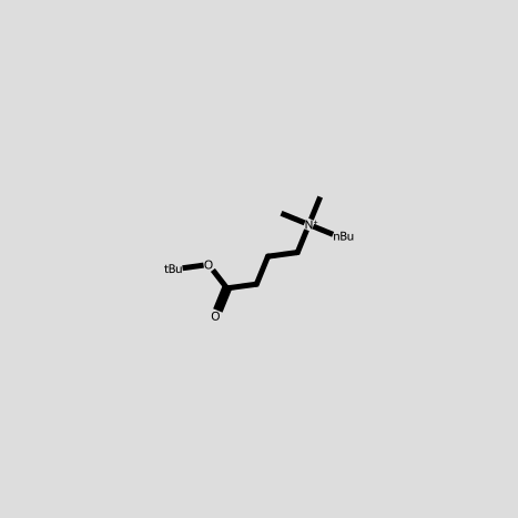 CCCC[N+](C)(C)CCCC(=O)OC(C)(C)C